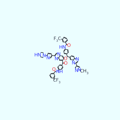 Cn1cc(-c2cnc3ccc(C(=O)c4ccc(NC(=O)c5cccc(C(F)(F)F)c5)cc4)cc3n2)cn1.O=C(Nc1ccc(C(=O)c2ccc3ncc(-c4ccc(N5CCNCC5)nc4)nc3c2)cc1)c1cccc(C(F)(F)F)c1